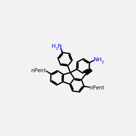 C#Cc1c(CCCCC)ccc2c1C(c1ccc(N)cc1)(c1ccc(N)cc1)c1cc(CCCCC)ccc1-2